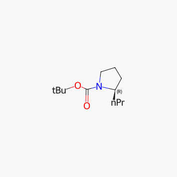 CCC[C@@H]1CCCN1C(=O)OC(C)(C)C